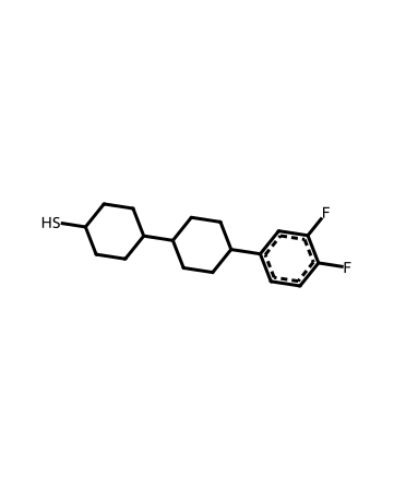 Fc1ccc(C2CCC(C3CCC(S)CC3)CC2)cc1F